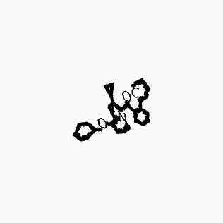 O=C(c1ccccc1-c1ccccc1)c1c(C2CC2)cc2c(OCc3ccccc3)cccn12